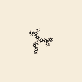 c1ccc(-c2cc(-c3ccccc3)cc(-c3ccc(N(c4ccc(-c5cccc(-c6ccc7ccccc7c6)c5)cc4)c4ccc(-c5ccc6c(c5)c5ccccc5n6-c5ccccc5)cc4)cc3)c2)cc1